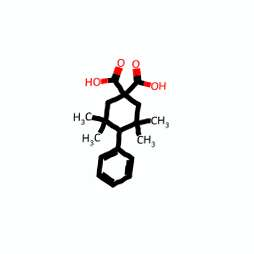 CC1(C)CC(C(=O)O)(C(=O)O)CC(C)(C)C1c1ccccc1